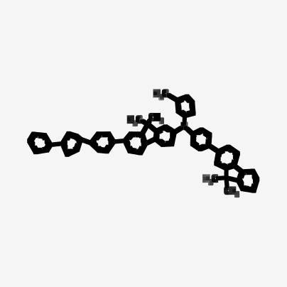 Cc1cccc(N(c2ccc(-c3ccc4c(c3)C(C)(C)c3ccccc3-4)cc2)c2ccc3c(c2)C(C)(C)c2cc(-c4ccc(-c5ccc(-c6ccccc6)cc5)cc4)ccc2-3)c1